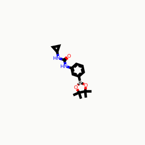 CC1(C)OB(c2cccc(NC(=O)NC3CC3)c2)OC1(C)C